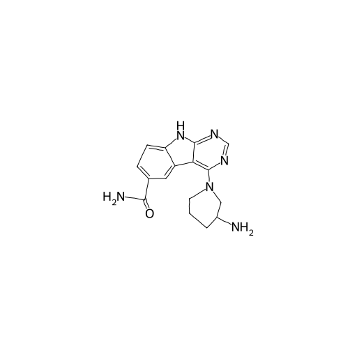 NC(=O)c1ccc2[nH]c3ncnc(N4CCCC(N)C4)c3c2c1